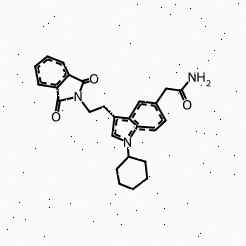 NC(=O)Cc1ccc2c(c1)c(CCN1C(=O)c3ccccc3C1=O)cn2C1CCCCC1